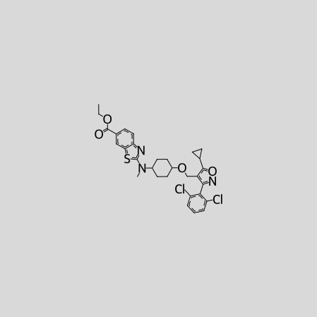 CCOC(=O)c1ccc2nc(N(C)C3CCC(OCc4c(-c5c(Cl)cccc5Cl)noc4C4CC4)CC3)sc2c1